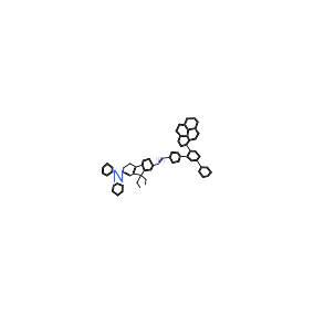 CCC1(CC)C2=C(CCC(N(c3ccccc3)c3ccccc3)=C2)c2ccc(/C=C/c3ccc(-c4cc(-c5ccccc5)ccc4-c4ccc5ccc6cccc7ccc4c5c67)cc3)cc21